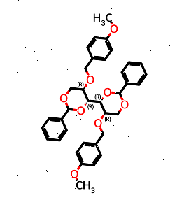 COc1ccc(CO[C@@H]2COC(c3ccccc3)O[C@H]2[C@@H]2OC(c3ccccc3)OC[C@H]2OCc2ccc(OC)cc2)cc1